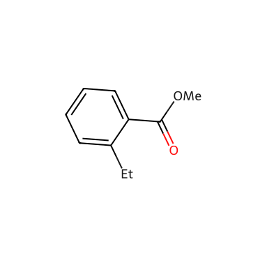 CCc1ccccc1C(=O)OC